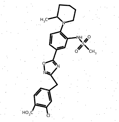 CC1CCCCN1c1ccc(-c2nc(Cc3ccc(C(=O)O)c(Cl)c3)no2)cc1NS(C)(=O)=O